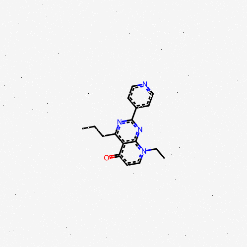 CCCc1nc(-c2ccncc2)nc2c1c(=O)ccn2CC